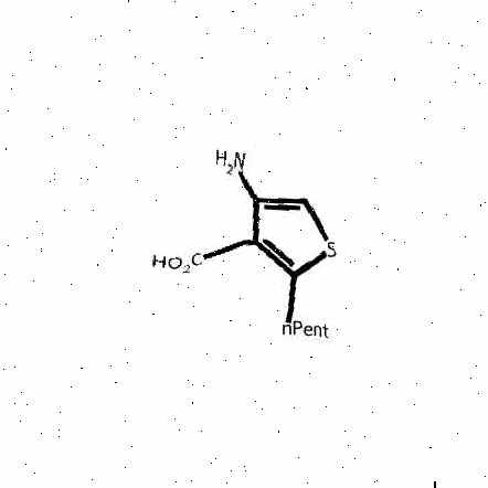 CCCCCc1scc(N)c1C(=O)O